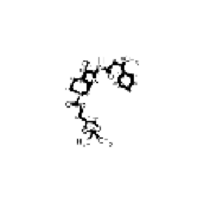 CC(CC(=O)Nc1sc2c(c1C#N)CCN(C(=O)OCC1COC(C)(C)O1)C2)c1ccccc1